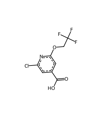 O=C(O)c1cc(Cl)nc(OCC(F)(F)F)c1